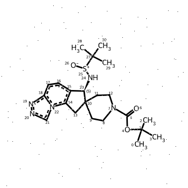 CC(C)(C)OC(=O)N1CCC2(CC1)Cc1c(ccc3nncn13)[C@H]2N[S+]([O-])C(C)(C)C